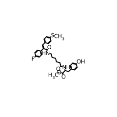 COC(=O)C(Cc1ccc(O)cc1)NC(=O)CCCCCNC(=O)/C(=C\c1ccc(SC)cc1)c1ccc(F)cc1